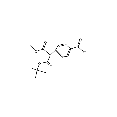 COC(=O)C(C(=O)OC(C)(C)C)c1ccc([N+](=O)[O-])cn1